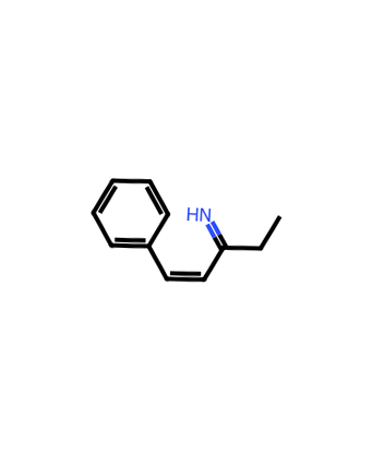 CCC(=N)/C=C\c1ccccc1